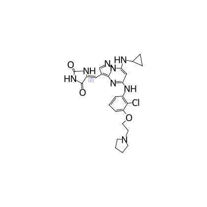 O=C1NC(=O)/C(=C/c2cnn3c(NC4CC4)cc(Nc4cccc(OCCN5CCCC5)c4Cl)nc23)N1